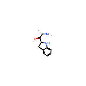 C[C@H](N)C(=O)C1Cc2cc[c]cc2N1